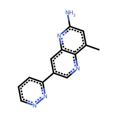 Cc1cc(N)nc2cc(-c3cccnn3)cnc12